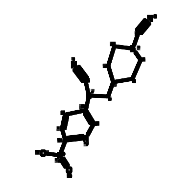 N#CB1CCC(CB(C#N)c2ccc([N+](=O)[O-])nc2)CC1